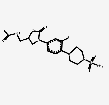 CC(=S)NCC1CN(c2ccc(N3CCN(S(N)(=O)=O)CC3)c(F)c2)C(=O)O1